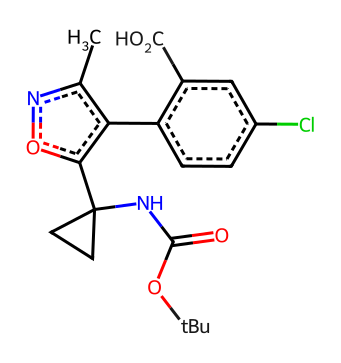 Cc1noc(C2(NC(=O)OC(C)(C)C)CC2)c1-c1ccc(Cl)cc1C(=O)O